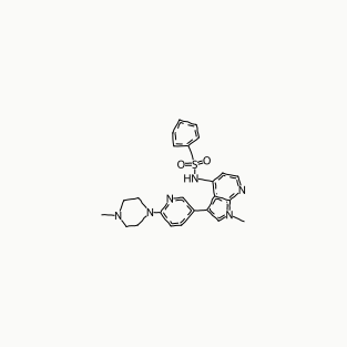 CN1CCN(c2ccc(-c3cn(C)c4nccc(NS(=O)(=O)c5ccccc5)c34)cn2)CC1